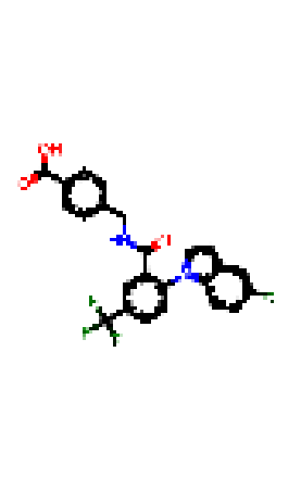 O=C(O)c1ccc(CNC(=O)c2cc(C(F)(F)F)ccc2-n2ccc3cc(Cl)ccc32)cc1